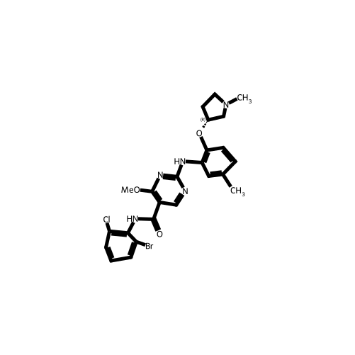 COc1nc(Nc2cc(C)ccc2O[C@@H]2CCN(C)C2)ncc1C(=O)Nc1c(Cl)cccc1Br